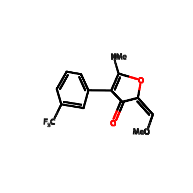 CNC1=C(c2cccc(C(F)(F)F)c2)C(=O)/C(=C\OC)O1